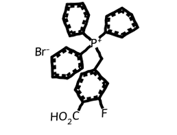 O=C(O)c1ccc(C[P+](c2ccccc2)(c2ccccc2)c2ccccc2)cc1F.[Br-]